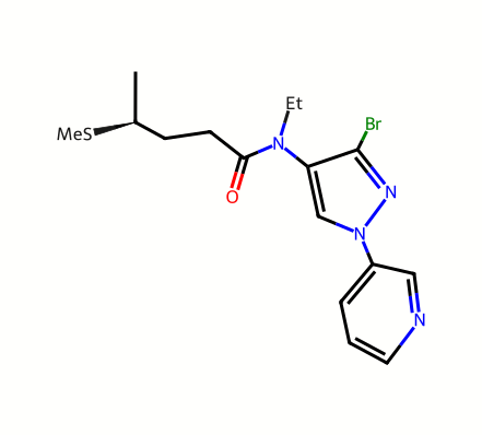 CCN(C(=O)CC[C@H](C)SC)c1cn(-c2cccnc2)nc1Br